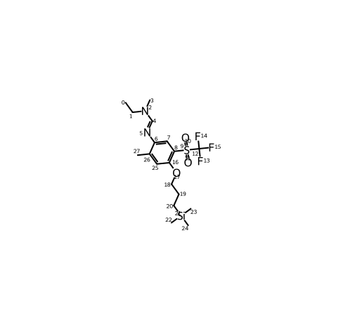 CCN(C)C=Nc1cc(S(=O)(=O)C(F)(F)F)c(OCCC[Si](C)(C)C)cc1C